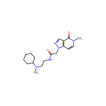 CN(CCNC(=O)Cn1ncc2c(=O)n(C)ccc21)C1CCCCC1